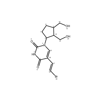 O=c1[nH]c(=O)n(C2CCC(CO)C2CO)cc1C=CBr